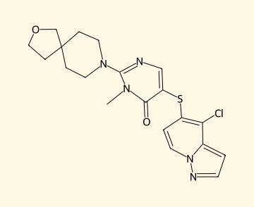 Cn1c(N2CCC3(CCOC3)CC2)ncc(Sc2ccn3nccc3c2Cl)c1=O